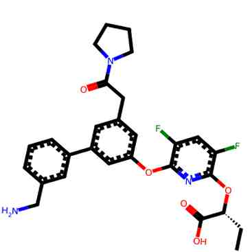 CC[C@@H](Oc1nc(Oc2cc(CC(=O)N3CCCC3)cc(-c3cccc(CN)c3)c2)c(F)cc1F)C(=O)O